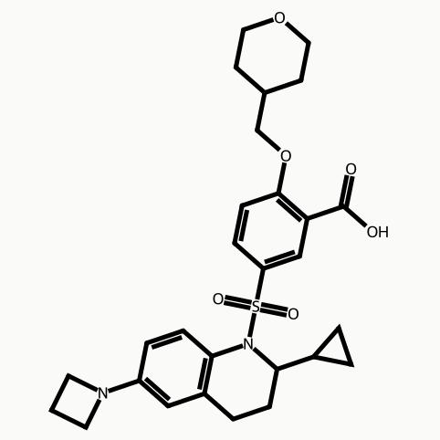 O=C(O)c1cc(S(=O)(=O)N2c3ccc(N4CCC4)cc3CCC2C2CC2)ccc1OCC1CCOCC1